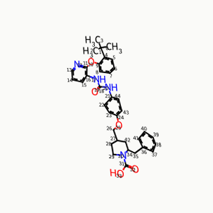 CC(C)(C)c1ccccc1Oc1ncccc1NC(=O)Nc1ccc(OCC2CCN(C(=O)O)C(Cc3ccccc3)C2)cc1